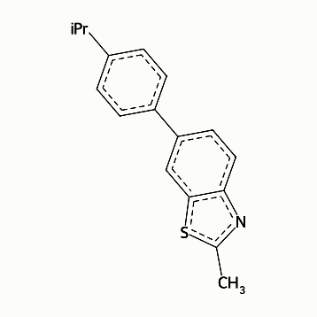 Cc1nc2ccc(-c3ccc(C(C)C)cc3)cc2s1